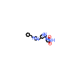 O=c1ccn(-c2cnn3ccc(CN4CCN(CCc5ccccc5)CC4)cc23)c(=O)[nH]1